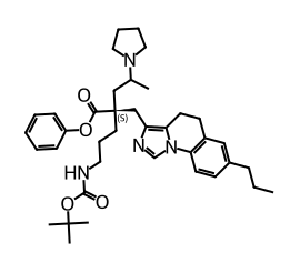 CCCc1ccc2c(c1)CCc1c(C[C@](CCCNC(=O)OC(C)(C)C)(CC(C)N3CCCC3)C(=O)Oc3ccccc3)ncn1-2